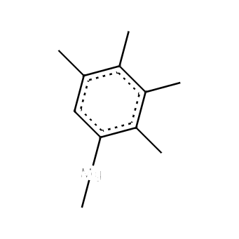 [CH3][Mg][c]1cc(C)c(C)c(C)c1C